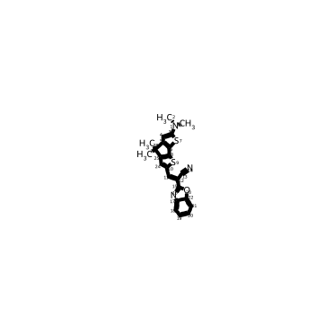 CN(C)c1cc2c(s1)-c1sc(/C=C(\C#N)c3nc4ccccc4o3)cc1C2(C)C